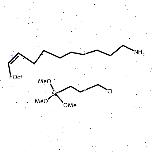 CCCCCCCC/C=C\CCCCCCCCN.CO[Si](CCCCl)(OC)OC